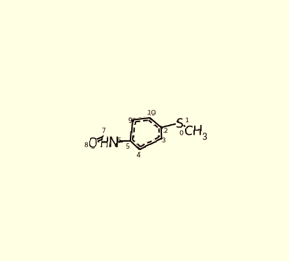 CSc1ccc(NC=O)cc1